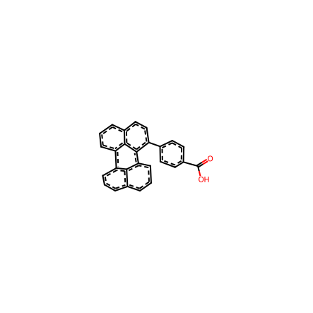 O=C(O)c1ccc(-c2ccc3cccc4c5cccc6cccc(c2c34)c65)cc1